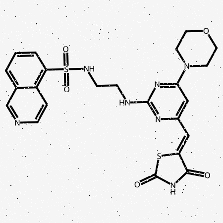 O=C1NC(=O)C(=Cc2cc(N3CCOCC3)nc(NCCNS(=O)(=O)c3cccc4cnccc34)n2)S1